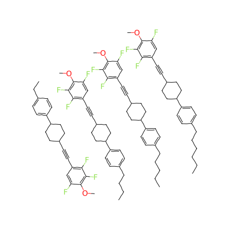 CCCCCCc1ccc(C2CCC(C#Cc3cc(F)c(OC)c(F)c3F)CC2)cc1.CCCCCc1ccc(C2CCC(C#Cc3cc(F)c(OC)c(F)c3F)CC2)cc1.CCCCc1ccc(C2CCC(C#Cc3cc(F)c(OC)c(F)c3F)CC2)cc1.CCc1ccc(C2CCC(C#Cc3cc(F)c(OC)c(F)c3F)CC2)cc1